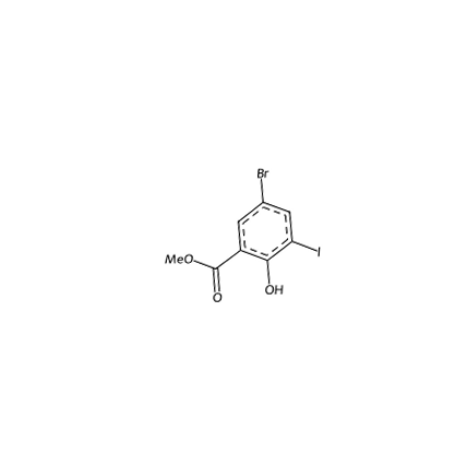 COC(=O)c1cc(Br)cc(I)c1O